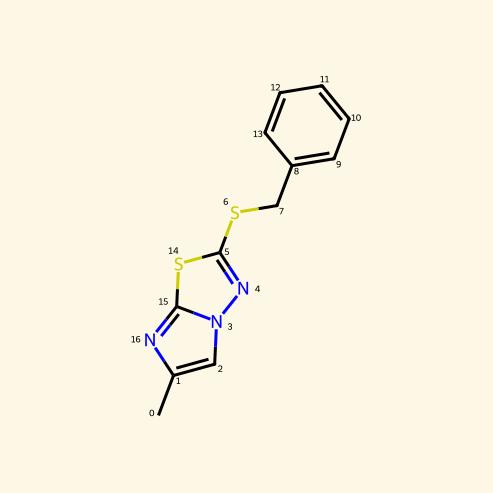 Cc1cn2nc(SCc3ccccc3)sc2n1